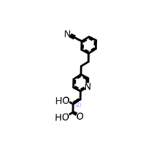 N#Cc1cccc(CCc2ccc(/C=C(\O)C(=O)O)nc2)c1